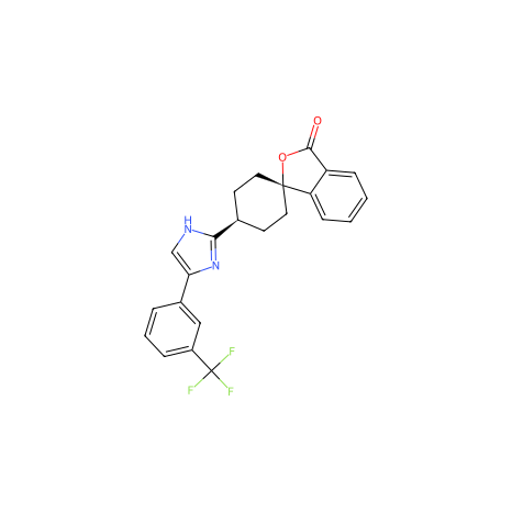 O=C1O[C@]2(CC[C@H](c3nc(-c4cccc(C(F)(F)F)c4)c[nH]3)CC2)c2ccccc21